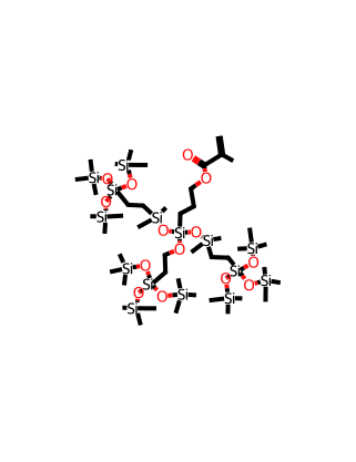 C=C(C)C(=O)OCCC[Si](OCC[Si](O[Si](C)(C)C)(O[Si](C)(C)C)O[Si](C)(C)C)(O[Si](C)(C)CC[Si](O[Si](C)(C)C)(O[Si](C)(C)C)O[Si](C)(C)C)O[Si](C)(C)CC[Si](O[Si](C)(C)C)(O[Si](C)(C)C)O[Si](C)(C)C